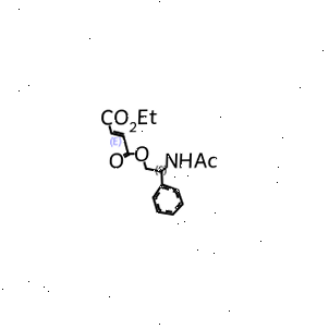 CCOC(=O)/C=C/C(=O)OC[C@@H](NC(C)=O)c1ccccc1